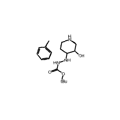 CC(C)(C)OC(=O)NNC1CCNCC1O.Cc1ccccc1